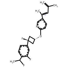 C=C(C)/C=C(\C)c1ccc(O[C@H]2C[C@@](F)(c3ccc(C(C)F)c(F)c3)C2)nc1